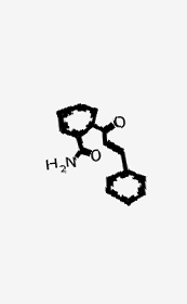 NC(=O)c1ccccc1C(=O)C=Cc1ccccc1